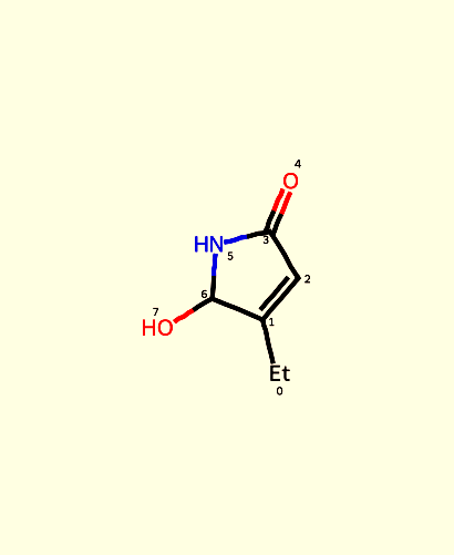 CCC1=CC(=O)NC1O